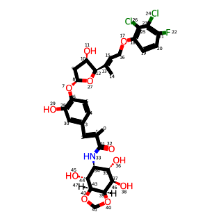 CC(=Cc1ccc(O[C@H]2C[C@H](O)[C@@H](C(C)=CCOc3ccc(F)c(Cl)c3Cl)O2)c(O)c1)C(=O)N[C@@H]1[C@H](O)[C@@H](O)[C@H]2OCO[C@H]2[C@@H]1O